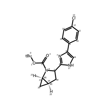 CC(C)(C)OC(=O)N1C(c2nc(-c3ccc(Cl)cc3)c[nH]2)C[C@H]2C[C@H]21